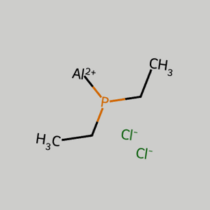 CC[P]([Al+2])CC.[Cl-].[Cl-]